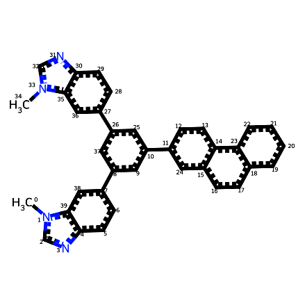 Cn1cnc2ccc(-c3cc(-c4ccc5c(ccc6ccccc65)c4)cc(-c4ccc5ncn(C)c5c4)c3)cc21